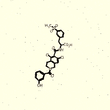 CS(=O)(=O)c1cccc(C[C@H](NC(=O)c2c(Cl)cc3c(c2Cl)CCN(C(=O)c2cccc(O)c2)C3)C(=O)O)c1